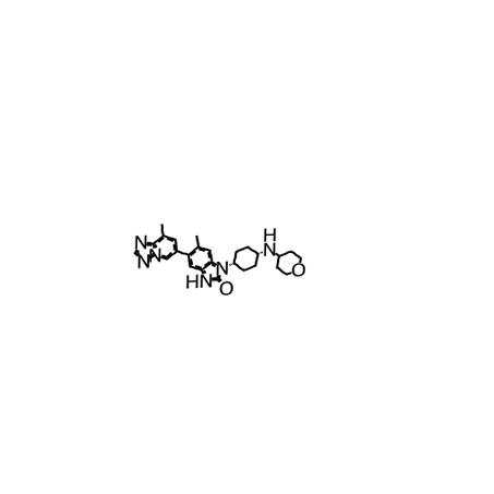 Cc1cc2c(cc1-c1cc(C)c3ncnn3c1)[nH]c(=O)n2[C@H]1CC[C@@H](NC2CCOCC2)CC1